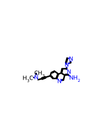 CN(C)CC#Cc1ccc2c(c1)ncc1c(N)nc(-n3ccnc3)cc12